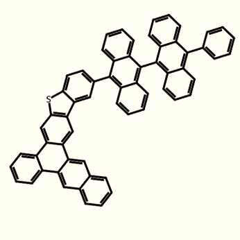 c1ccc(-c2c3ccccc3c(-c3c4ccccc4c(-c4ccc5sc6cc7c8ccccc8c8cc9ccccc9cc8c7cc6c5c4)c4ccccc34)c3ccccc23)cc1